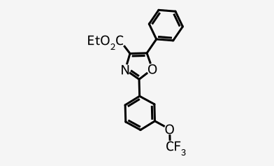 CCOC(=O)c1nc(-c2cccc(OC(F)(F)F)c2)oc1-c1ccccc1